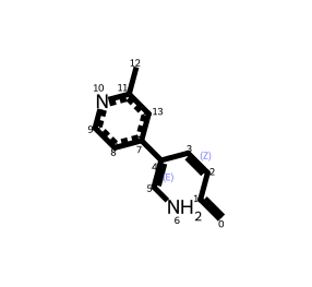 C=C/C=C\C(=C/N)c1ccnc(C)c1